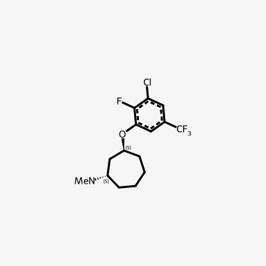 CN[C@H]1CCCC[C@H](Oc2cc(C(F)(F)F)cc(Cl)c2F)C1